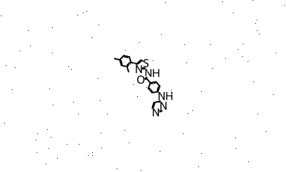 Cc1ccc(-c2csc(NC(=O)c3ccc(Nc4ccncn4)cc3)n2)c(C)c1